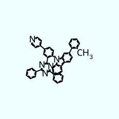 Cc1ccccc1-c1ccc2c3ccccc3n(-c3ccc(-c4ccncc4)cc3-c3nc(-c4ccccc4)nc(-c4ccccc4)n3)c2c1